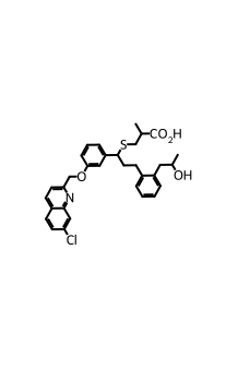 CC(O)Cc1ccccc1CCC(SCC(C)C(=O)O)c1cccc(OCc2ccc3ccc(Cl)cc3n2)c1